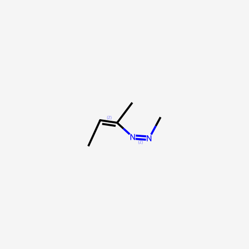 C/C=C(C)\N=N/C